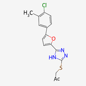 CC(=O)CSc1nnc(-c2ccc(-c3ccc(Cl)c(C)c3)o2)[nH]1